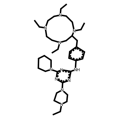 CCN1CCN(CC)CCN(CC)C(Cc2ccc(Nc3nc(N4CCCCC4)nc(N4CCN(CC)CC4)n3)cc2)CN(CC)CC1